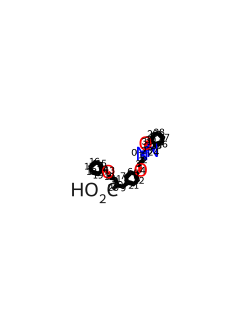 CN(CCOc1ccc(CC(CCOc2ccccc2)C(=O)O)cc1)c1nc2ccccc2o1